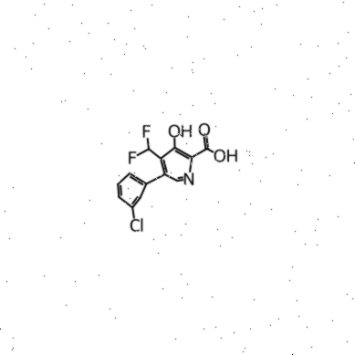 O=C(O)c1ncc(-c2cccc(Cl)c2)c(C(F)F)c1O